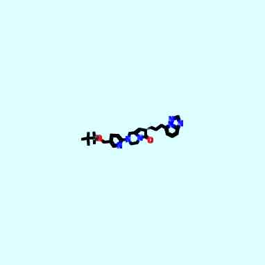 CC(C)(C)[Si](C)(C)OCc1ccc(N2CCN3C(=O)[C@@H](CCCc4cccc5ncnn45)C=C3C2)nc1